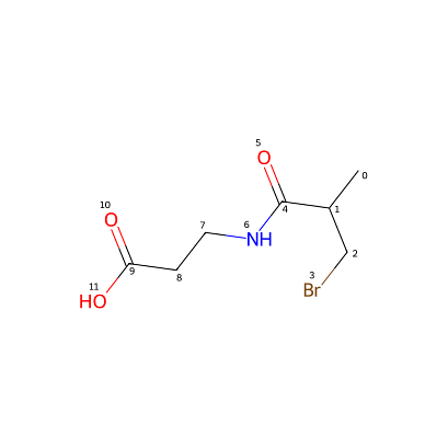 CC(CBr)C(=O)NCCC(=O)O